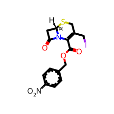 O=C(OCc1ccc([N+](=O)[O-])cc1)C1=C(CI)CS[C@H]2CC(=O)N12